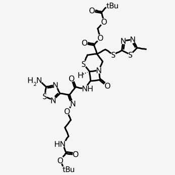 Cc1nnc(SCC2(C(=O)OCOC(=O)C(C)(C)C)CS[C@@H]3C(NC(=O)C(=NOCCCNC(=O)OC(C)(C)C)c4nsc(N)n4)C(=O)N3C2)s1